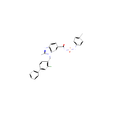 Cc1ccc(NS(=O)(=O)NC(=O)c2ccc3nc(C)n(Cc4ccc(-c5ccccc5)cc4Cl)c3c2)cc1